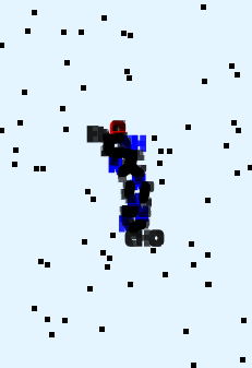 CCc1cc2ncc(CN3CCN(c4cnc(C=O)cn4)CC3)cc2[nH]c1=O